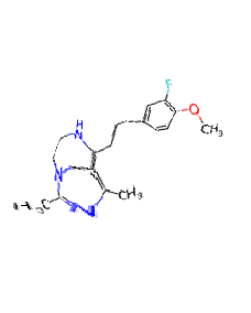 COc1ccc(CCC2NCCn3c(C)nc(C)c32)cc1F